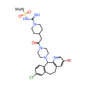 CNS(=O)(=O)NC(=N)N1CCC(CC(=O)N2CCN(C3c4ccc(Cl)cc4CCc4cc(Br)cnc43)CC2)CC1